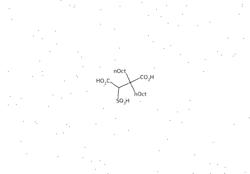 CCCCCCCCC(CCCCCCCC)(C(=O)O)C(C(=O)O)S(=O)(=O)O